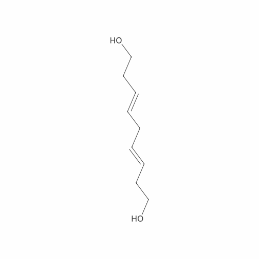 OCCC=CCC=CCCO